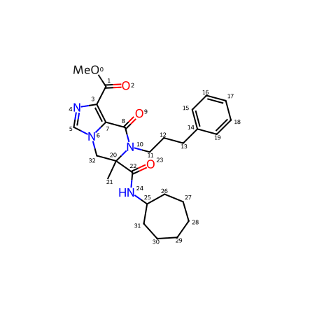 COC(=O)c1ncn2c1C(=O)N(CCCc1ccccc1)C(C)(C(=O)NC1CCCCCC1)C2